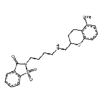 COc1cccc2c1CCC(CNCCCCN1C(=O)c3ccccc3S1(=O)=O)O2